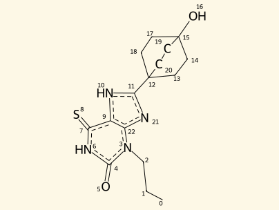 CCCn1c(=O)[nH]c(=S)c2[nH]c(C34CCC(O)(CC3)CC4)nc21